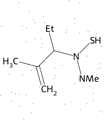 C=C(C)C(CC)N(S)NC